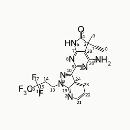 C#CC1(C)C(=O)Nc2nc(-c3nn(CCC(F)(F)C(F)(F)F)c4ncccc34)nc(N)c21